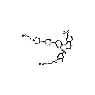 CCCCCCCCCCCCOc1ccc(S(=O)(=O)c2cnc3ccc([S+](C)[O-])cc3c2N2CCC(N3CCC(N4CCN(CCO)CC4)CC3)CC2)cc1F